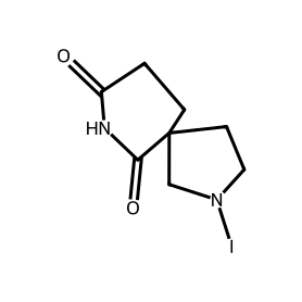 O=C1CCC2(CCN(I)C2)C(=O)N1